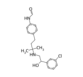 CC(C)(CCc1ccc(NC=O)cc1)NCC(O)c1cccc(Cl)c1